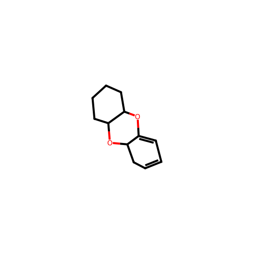 C1=CCC2OC3CCCCC3OC2=C1